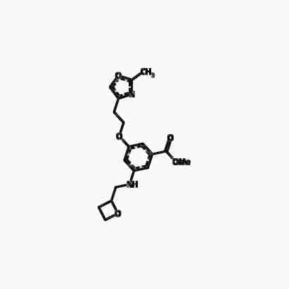 COC(=O)c1cc(NCC2CCO2)cc(OCCc2coc(C)n2)c1